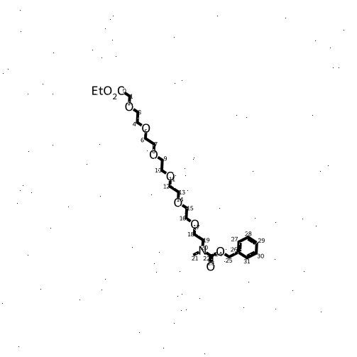 CCOC(=O)COCCOCCOCCOCCOCCOCCN(C)C(=O)OCc1ccccc1